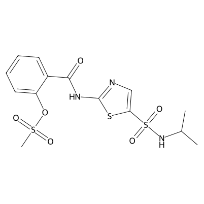 CC(C)NS(=O)(=O)c1cnc(NC(=O)c2ccccc2OS(C)(=O)=O)s1